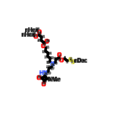 CCCCCCCCCCSSCCOC(=O)CCN(CCCCCCOC(=O)CCC(OCCCCCC)OCCCCCC)CCCNc1c(NC)c(=O)c1=O